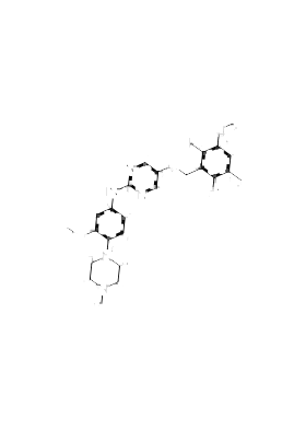 COc1cc(Nc2ncc(OCc3c(Cl)c(C)cc(OC)c3Cl)cn2)ccc1N1CCN(C)CC1